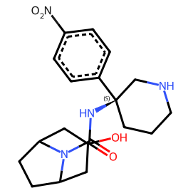 O=C(N[C@]1(c2ccc([N+](=O)[O-])cc2)CCCNC1)N1C2CCC1CC(O)C2